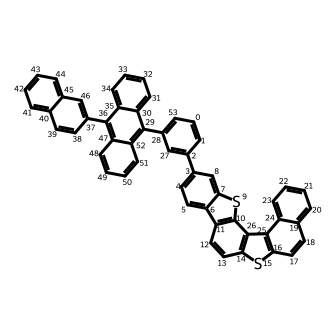 c1cc(-c2ccc3c(c2)sc2c3ccc3sc4ccc5ccccc5c4c32)cc(-c2c3ccccc3c(-c3ccc4ccccc4c3)c3ccccc23)c1